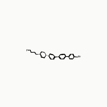 CCCc1ccc(-c2ccc(-c3ccc([C@H]4CC[C@H](CCCCF)CC4)cc3)cc2)cc1